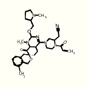 C=CC(=O)N1CCN(C2=NC(OCC3CCCN3C)N(C)C3C(=O)[C@]4(CCC23)Cc2cccc(C)c2CO4)CC1CC#N